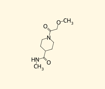 CNC(=O)C1CCN(C(=O)COC)CC1